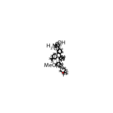 COc1cc(-n2cc(-c3ccc(C(CO)S(N)(=O)=O)cc3N3CCC4(CC3)CC4)nn2)nc(N2CCC(F)(F)CC2)n1